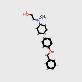 CN(CCO)[C@H]1CC[C@H](c2ccc(OCc3ccccc3)cc2)CC1